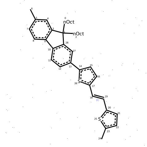 CCCCCCCCC1(CCCCCCCC)c2cc(C)ccc2-c2ccc(-c3ccc(/C=C/c4ccc(C)s4)s3)cc21